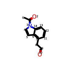 CC(=O)n1ccc2c(CC=O)cccc21